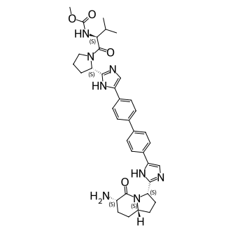 COC(=O)N[C@H](C(=O)N1CCC[C@H]1c1ncc(-c2ccc(-c3ccc(-c4cnc([C@@H]5CC[C@@H]6CC[C@H](N)C(=O)N65)[nH]4)cc3)cc2)[nH]1)C(C)C